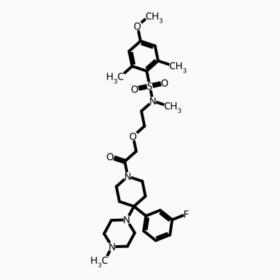 COc1cc(C)c(S(=O)(=O)N(C)CCOCC(=O)N2CCC(c3cccc(F)c3)(N3CCN(C)CC3)CC2)c(C)c1